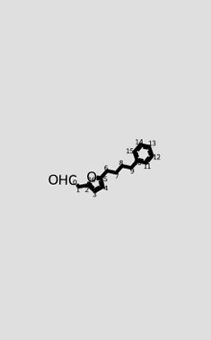 O=CCc1ccc(CCCCc2ccccc2)o1